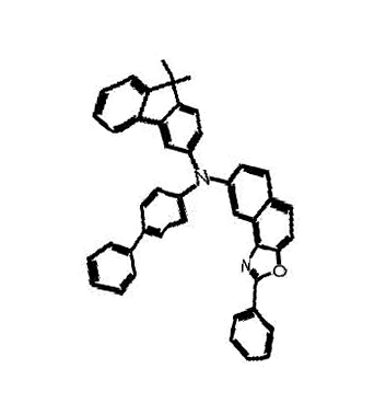 CC1(C)c2ccccc2-c2cc(N(c3ccc4ccc5oc(-c6ccccc6)nc5c4c3)C3C=CC(c4ccccc4)=CC3)ccc21